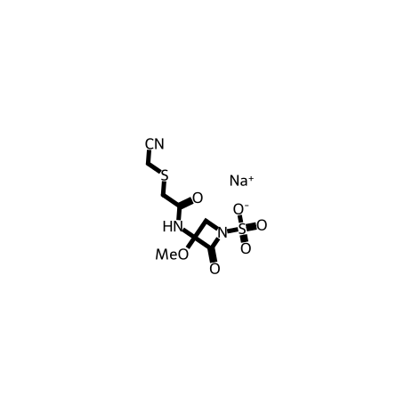 COC1(NC(=O)CSCC#N)CN(S(=O)(=O)[O-])C1=O.[Na+]